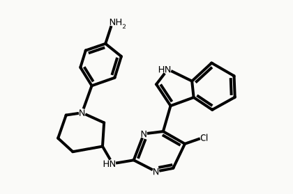 Nc1ccc(N2CCCC(Nc3ncc(Cl)c(-c4c[nH]c5ccccc45)n3)C2)cc1